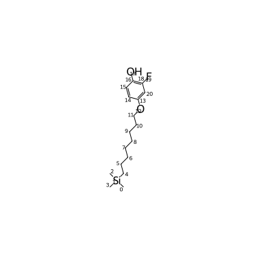 C[Si](C)(C)CCCCCCCCOc1ccc(O)c(F)c1